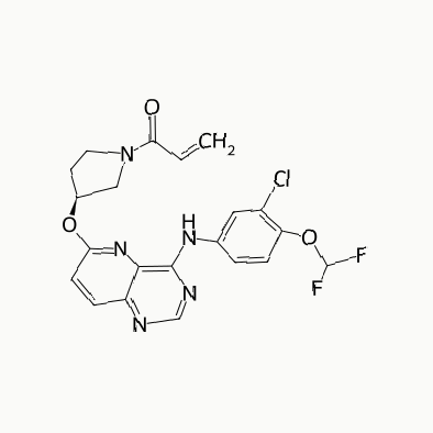 C=CC(=O)N1CC[C@H](Oc2ccc3ncnc(Nc4ccc(OC(F)F)c(Cl)c4)c3n2)C1